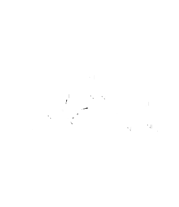 Nc1ncc(-c2cc([C@H]3[C@@H]4CN(C5COC5)C[C@@H]43)n(CC(F)(F)F)n2)cc1C(F)(F)F